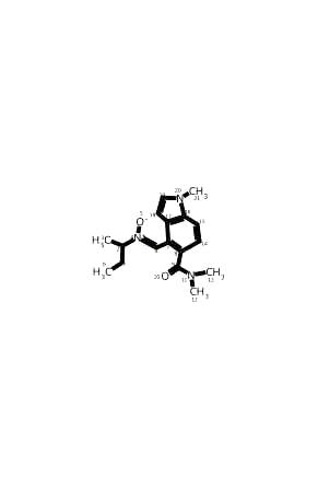 CCC(C)/[N+]([O-])=C/c1c(C(=O)N(C)C)ccc2c1ccn2C